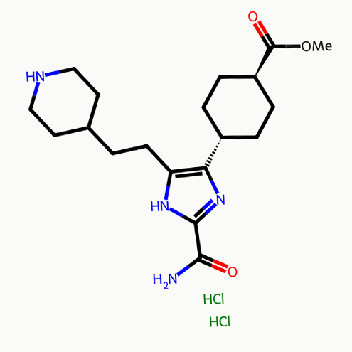 COC(=O)[C@H]1CC[C@H](c2nc(C(N)=O)[nH]c2CCC2CCNCC2)CC1.Cl.Cl